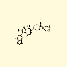 Cc1cc(-c2[nH]nc(C(=O)NC3CCC(N[C@H]4CCOC(C)(C)C4)CC3)c2C(C)C)cn2ncnc12